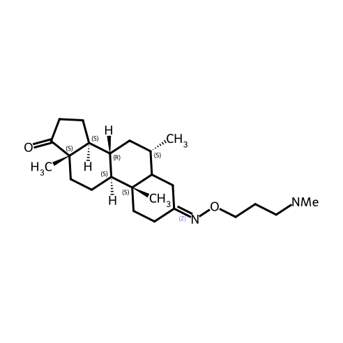 CNCCCO/N=C1/CC[C@@]2(C)C(C1)[C@@H](C)C[C@@H]1[C@@H]2CC[C@]2(C)C(=O)CC[C@@H]12